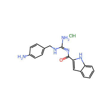 Cl.NC(=NC(=O)c1cc2ccccc2[nH]1)NCc1ccc(N)cc1